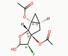 CC(=O)O[C@]12C[C@H]1C[C@@]1(OC(C)=O)[C@@H]2OC(O)[C@@H]1F